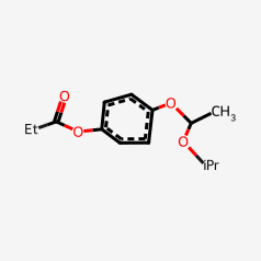 CCC(=O)Oc1ccc(OC(C)OC(C)C)cc1